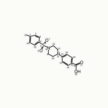 Cc1ccc(S(=O)(=O)N2CCN(c3ccc(C(=O)O)cc3)CC2)cc1